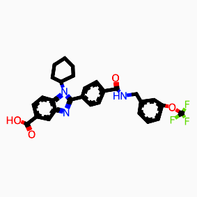 O=C(O)c1ccc2c(c1)nc(-c1ccc(C(=O)NCc3cccc(OC(F)(F)F)c3)cc1)n2C1CCCCC1